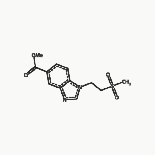 COC(=O)c1ccc2c(c1)ncn2CCS(C)(=O)=O